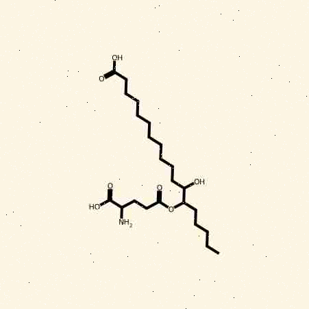 CCCCCC(OC(=O)CCC(N)C(=O)O)C(O)CCCCCCCCCCC(=O)O